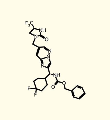 O=C(N[C@H](c1cn2ncc(CN3C[C@@H](C(F)(F)F)NC3=O)cc2n1)C1CCC(F)(F)CC1)OCc1ccccc1